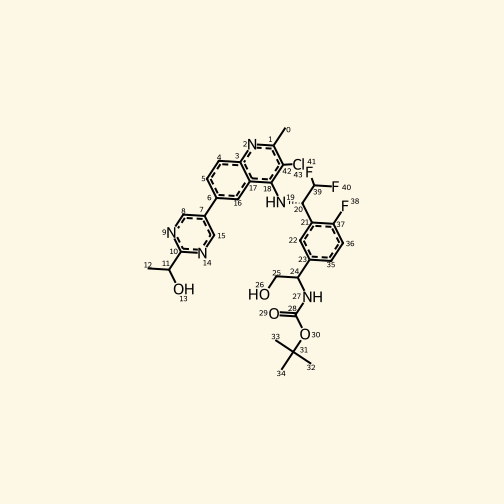 Cc1nc2ccc(-c3cnc(C(C)O)nc3)cc2c(N[C@@H](c2cc(C(CO)NC(=O)OC(C)(C)C)ccc2F)C(F)F)c1Cl